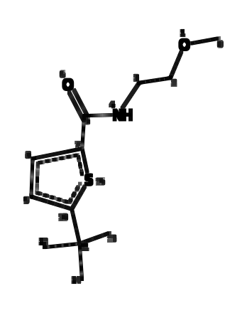 COCCNC(=O)c1ccc(C(C)(C)C)s1